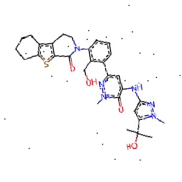 Cn1nc(Nc2cc(-c3cccc(N4CCc5c(sc6c5CCCC6)C4=O)c3CO)nn(C)c2=O)cc1C(C)(C)O